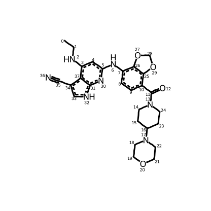 CCNc1cc(Nc2ccc(C(=O)N3CCC(N4CCOCC4)CC3)c3c2OCO3)nc2[nH]cc(C#N)c12